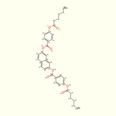 CCC(C)CCCCC(=O)Oc1ccc(C(=O)Oc2ccc3ccc(OC(=O)c4ccc(OC(=O)CCCCC(C)C)cc4)cc3c2)cc1